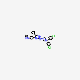 Clc1ccc(C(c2ccc(Cl)cc2)N2CCN(c3nc4nc(-c5ccc(NC6CCC6)cc5)c(-c5ccccc5)cn4n3)CC2)cc1